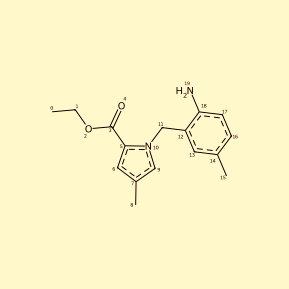 CCOC(=O)c1cc(C)cn1Cc1cc(C)ccc1N